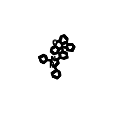 c1ccc(-c2cc(-c3cccc(C4(c5ccccc5)c5ccccc5Oc5ccccc54)c3)nc(-c3ccccc3)n2)cc1